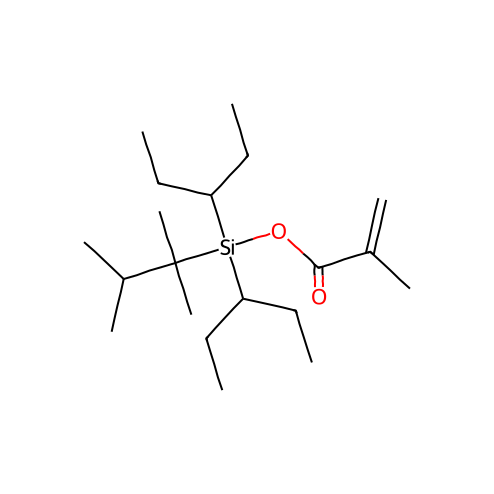 C=C(C)C(=O)O[Si](C(CC)CC)(C(CC)CC)C(C)(C)C(C)C